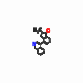 CC1Cc2c(cccc2-c2cncc3ccccc23)C1=O